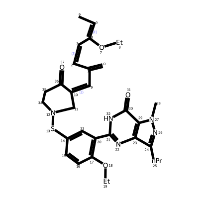 C=C(/C=C\C(=C/C)OCC)/C=C1/CN(Sc2ccc(OCC)c(-c3nc4c(CCC)nn(C)c4c(=O)[nH]3)c2)CCC1=O